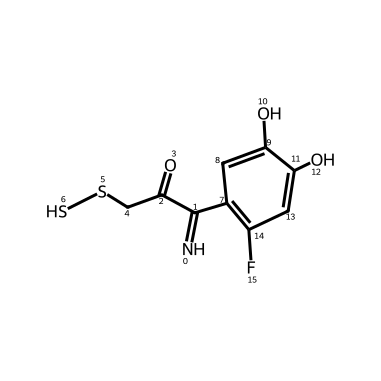 N=C(C(=O)CSS)c1cc(O)c(O)cc1F